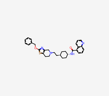 O=C(N[C@H]1CC[C@H](CCN2CCc3sc(OCc4ccccc4)nc3C2)CC1)c1cccc2ncccc12